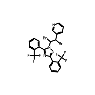 FC(F)(F)c1ccccc1-c1nc(-c2ccccc2C(F)(F)F)n(C(Br)C(Br)c2cccnc2)n1